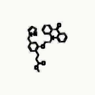 COC(=O)CCc1ccc(Cn2cccn2)cc1OCCn1c2ccccc2c(=O)c2ccccc21